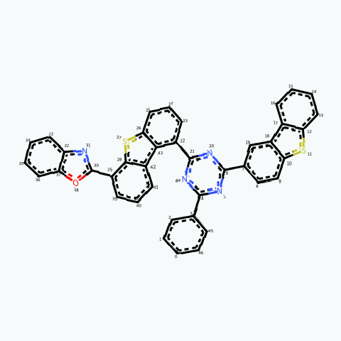 c1ccc(-c2nc(-c3ccc4sc5ccccc5c4c3)nc(-c3cccc4sc5c(-c6nc7ccccc7o6)cccc5c34)n2)cc1